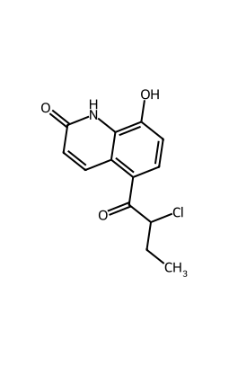 CCC(Cl)C(=O)c1ccc(O)c2[nH]c(=O)ccc12